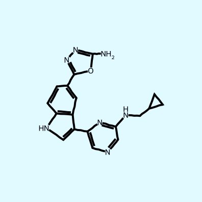 Nc1nnc(-c2ccc3[nH]cc(-c4cncc(NCC5CC5)n4)c3c2)o1